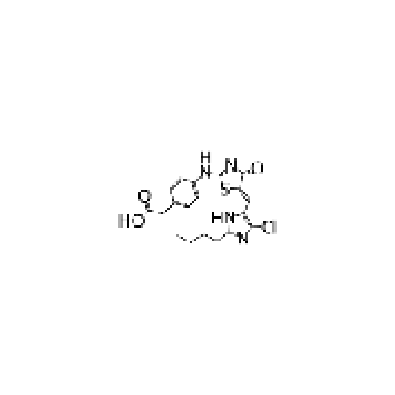 CCCCc1nc(Cl)c(C=C2SC(Nc3ccc(CC(=O)O)cc3)=NC2=O)[nH]1